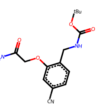 CC(C)(C)OC(=O)NCc1ccc(C#N)cc1OCC(N)=O